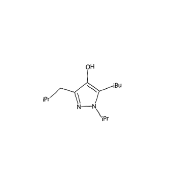 CCC(C)c1c(O)c(CC(C)C)nn1C(C)C